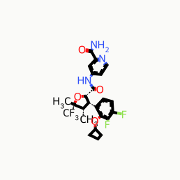 C[C@H]1[C@@H](c2ccc(F)c(F)c2OC2CCC2)[C@@H](C(=O)Nc2ccnc(C(N)=O)c2)O[C@@]1(C)C(F)(F)F